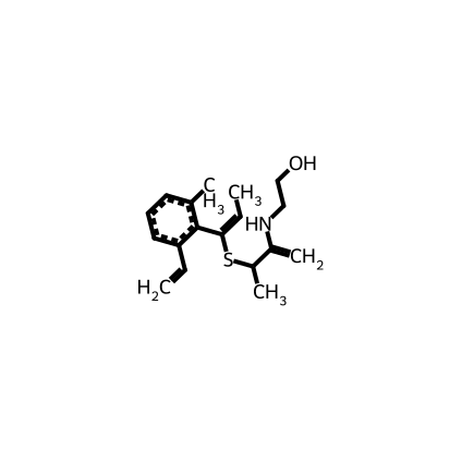 C=Cc1cccc(C)c1/C(=C\C)SC(C)C(=C)NCCO